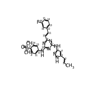 C/C=C/c1cc(Nc2nc(/C=C/c3cccc(F)c3)nc(Nc3ccc(P(C)(C)=O)cc3)n2)n[nH]1